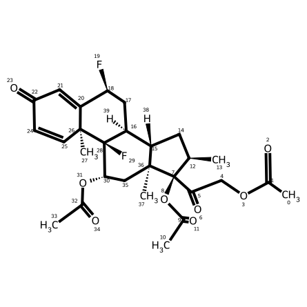 CC(=O)OCC(=O)[C@@]1(OC(C)=O)[C@H](C)C[C@H]2[C@@H]3C[C@H](F)C4=CC(=O)C=C[C@]4(C)[C@@]3(F)[C@@H](OC(C)=O)C[C@@]21C